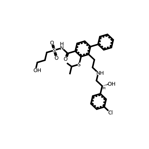 CC(C)Sc1c(C(=O)NS(=O)(=O)CCCO)ccc(-c2ccccc2)c1CCNC[C@H](O)c1cccc(Cl)c1